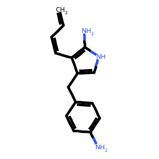 C=C/C=C\c1c(Cc2ccc(N)cc2)c[nH]c1N